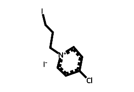 Clc1cc[n+](CCCI)cc1.[I-]